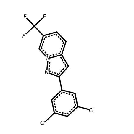 FC(F)(F)c1ccc2cc(-c3cc(Cl)cc(Cl)c3)nn2c1